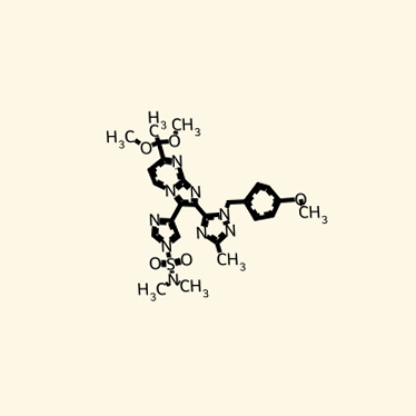 COc1ccc(Cn2nc(C)nc2-c2nc3nc(C(C)(OC)OC)ccn3c2-c2cn(S(=O)(=O)N(C)C)cn2)cc1